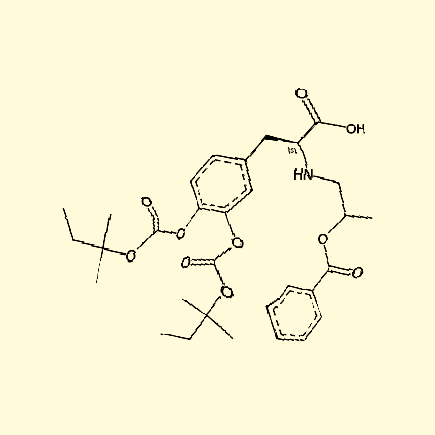 CCC(C)(C)OC(=O)Oc1ccc(C[C@H](NCC(C)OC(=O)c2ccccc2)C(=O)O)cc1OC(=O)OC(C)(C)CC